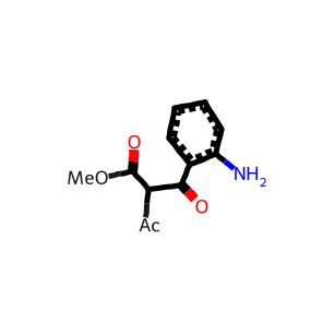 COC(=O)C(C(C)=O)C(=O)c1ccccc1N